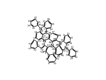 c1ccc(-c2sc(-c3ccccc3)c3c2N2c4cccc5c4B(c4ccccc4N5c4ccccc4)c4ccc5c(c42)N3c2cccc3c2B5c2ccccc2N3c2ccccc2)cc1